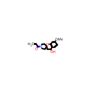 C=CC(=O)N1CCC2(CC1)CC(O)c1ccc(OC)cc1O2